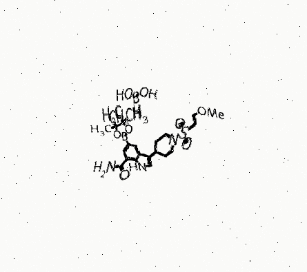 COCCS(=O)(=O)N1CCC(c2c[nH]c3c(C(N)=O)cc(B4OC(C)(C)C(C)(C)O4)cc23)CC1.OBO